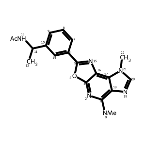 CNc1nc2oc(-c3cccc(C(C)NC(C)=O)c3)nc2c2c1ncn2C